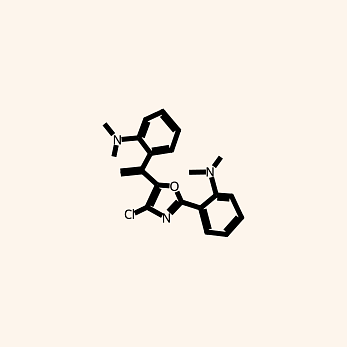 C=C(c1ccccc1N(C)C)c1oc(-c2ccccc2N(C)C)nc1Cl